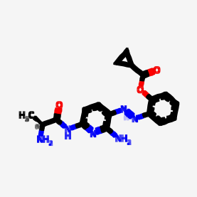 C[C@H](N)C(=O)Nc1ccc(/N=N/c2ccccc2OC(=O)C2CC2)c(N)n1